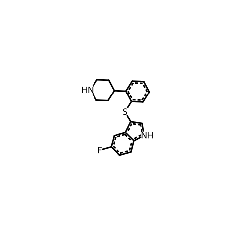 Fc1ccc2[nH]cc(Sc3ccccc3C3CCNCC3)c2c1